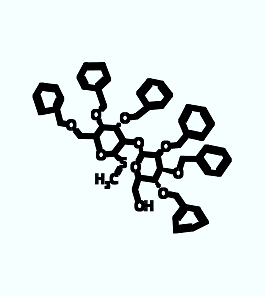 CS[C@H]1OC(COCc2ccccc2)[C@@H](OCc2ccccc2)[C@H](OCc2ccccc2)C1O[C@H]1OC(CO)[C@@H](OCc2ccccc2)[C@H](OCc2ccccc2)C1OCc1ccccc1